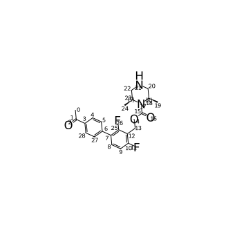 CC(=O)c1ccc(-c2ccc(F)c(COC(=O)N3[C@H](C)CNC[C@@H]3C)c2F)cc1